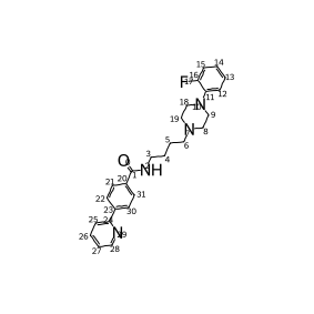 O=C(NCCCCN1CCN(c2ccccc2F)CC1)c1ccc(-c2ccccn2)cc1